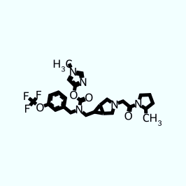 CC1CCCN1C(=O)CN1CC2C(C1)C2CN(Cc1cccc(OC(F)(F)F)c1)C(=O)Oc1cn(C)cn1